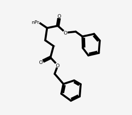 CCCC(C[CH]C(=O)OCc1ccccc1)C(=O)OCc1ccccc1